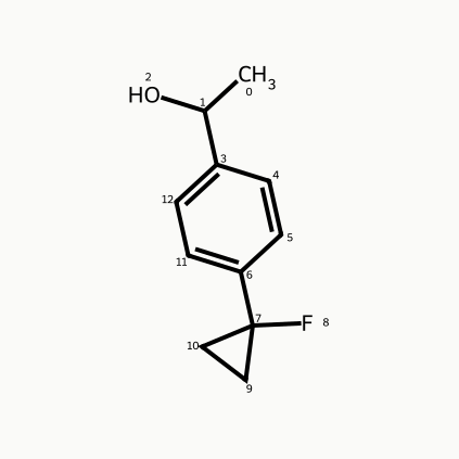 CC(O)c1ccc(C2(F)CC2)cc1